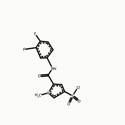 Cn1cc(S(=O)(=O)Cl)cc1C(=O)Nc1ccc(F)c(F)c1